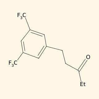 CCC(=O)CCc1cc(C(F)(F)F)cc(C(F)(F)F)c1